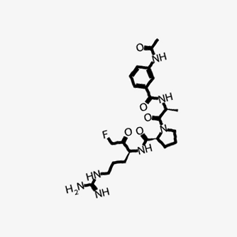 CC(=O)Nc1cccc(C(=O)N[C@@H](C)C(=O)N2CCC[C@H]2C(=O)N[C@@H](CCCNC(=N)N)C(=O)CF)c1